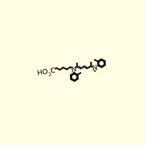 C\C(=C/C=C/C(C)=[N+](\C)c1ccccc1C)N(CCCCCC(=O)O)c1ccccc1C